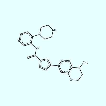 CN1CCOc2cc(-c3ccc(C(=O)Nc4cnccc4N4CCNCC4)s3)ccc21